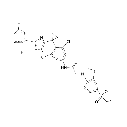 CCS(=O)(=O)c1ccc2c(c1)CCN2CC(=O)Nc1cc(Cl)c(C2(c3noc(-c4cc(F)ccc4F)n3)CC2)c(Cl)c1